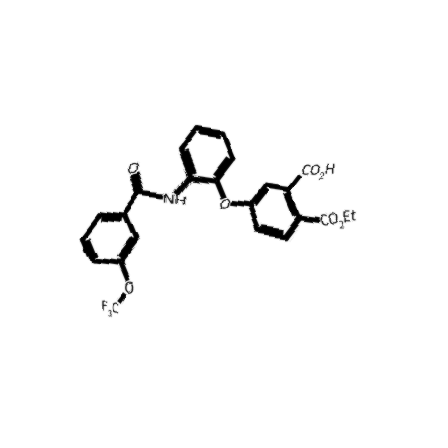 CCOC(=O)c1ccc(Oc2ccccc2NC(=O)c2cccc(OC(F)(F)F)c2)cc1C(=O)O